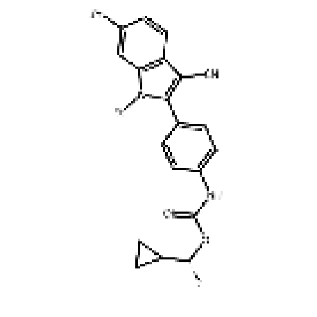 CCn1c(-c2ccc(NC(=O)O[C@H](C)C3CC3)cc2)c(C#N)c2ccc(C(C)C)cc21